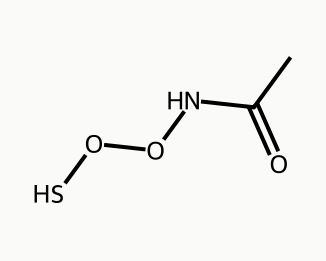 CC(=O)NOOS